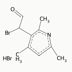 Br.Cc1cc(C)c(C(Br)C=O)c(C)n1